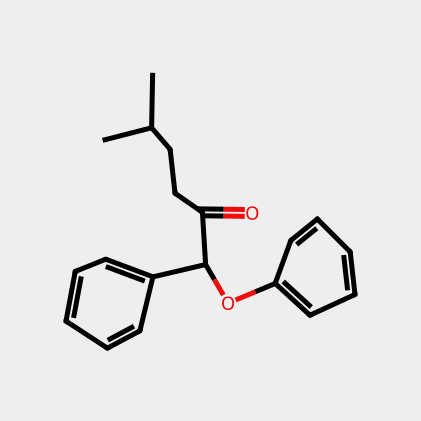 CC(C)CCC(=O)C(Oc1ccccc1)c1ccccc1